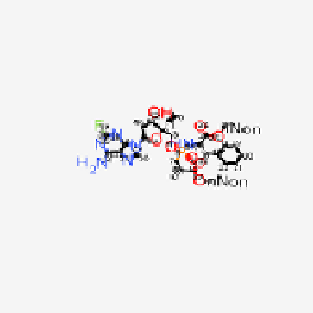 C#C[C@]1(COP(=O)(C[C@@H](C)C(=O)OCCCCCCCCC)N[C@@H](Cc2ccccc2)C(=O)OCCCCCCCCC)O[C@@H](n2cnc3c(N)nc(F)nc32)C[C@@H]1O